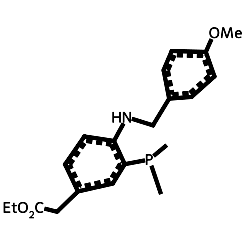 CCOC(=O)Cc1ccc(NCc2ccc(OC)cc2)c(P(C)C)c1